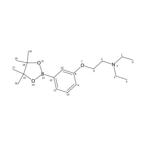 CCN(CC)CCOc1cccc(B2OC(C)(C)C(C)(C)O2)c1